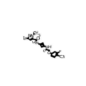 CCc1cc(C(=O)NC23CC(NC(=O)COc4ccc(Cl)c(F)c4)(C2)C3)n(C)n1